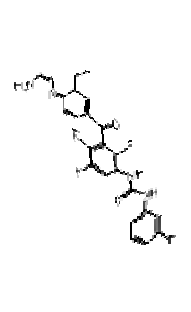 CCC1C=C(C(=O)c2c(F)c(F)cc(NC(=O)Nc3cccc(F)c3)c2F)C=C/C1=N/C=C\N